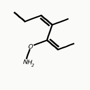 C/C=C(ON)\C(C)=C/CC